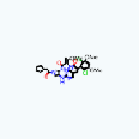 C=CC(=O)NC1CN(C(=O)CC2CCCC2)CC1Nc1ncc2cc(-c3c(Cl)c(OC)cc(OC)c3Cl)c(=O)n(CCOC)c2n1